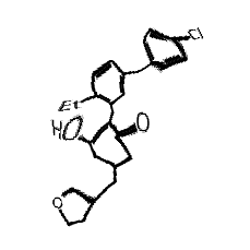 CCc1ccc(-c2ccc(Cl)cc2)cc1C1=C(O)CC(CC2CCOC2)CC1=O